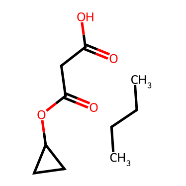 CCCC.O=C(O)CC(=O)OC1CC1